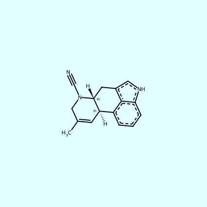 CC1=C[C@@H]2c3cccc4[nH]cc(c34)C[C@H]2N(C#N)C1